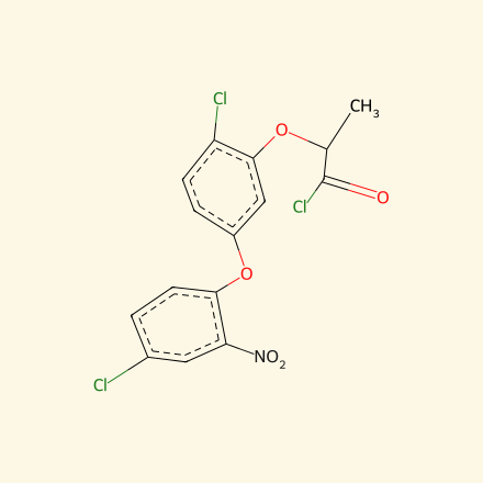 CC(Oc1cc(Oc2ccc(Cl)cc2[N+](=O)[O-])ccc1Cl)C(=O)Cl